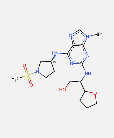 CC(C)n1cnc2c(N[C@H]3CCN(S(C)(=O)=O)C3)nc(NC(CO)C3CCCO3)nc21